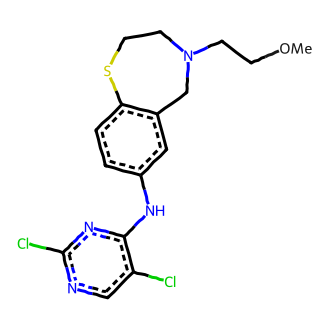 COCCN1CCSc2ccc(Nc3nc(Cl)ncc3Cl)cc2C1